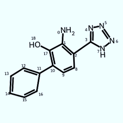 Nc1c(-c2nnn[nH]2)ccc(-c2ccccc2)c1O